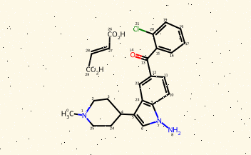 CN1CCC(c2cn(N)c3ccc(C(=O)c4ccccc4Cl)cc23)CC1.O=C(O)C=CC(=O)O